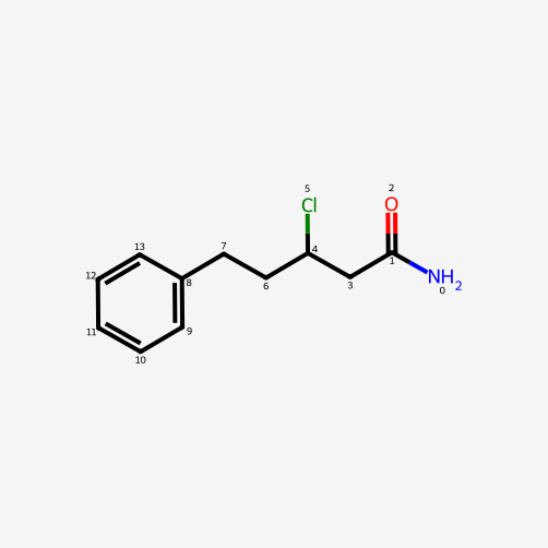 NC(=O)CC(Cl)CCc1ccccc1